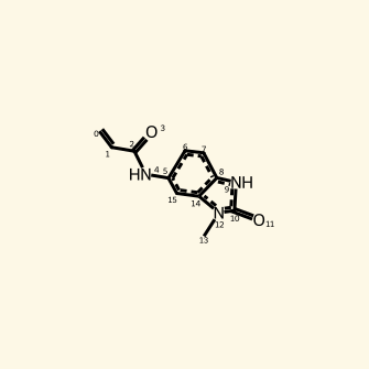 C=CC(=O)Nc1ccc2[nH]c(=O)n(C)c2c1